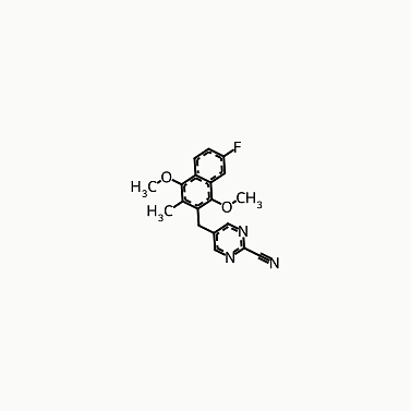 COc1c(C)c(Cc2cnc(C#N)nc2)c(OC)c2cc(F)ccc12